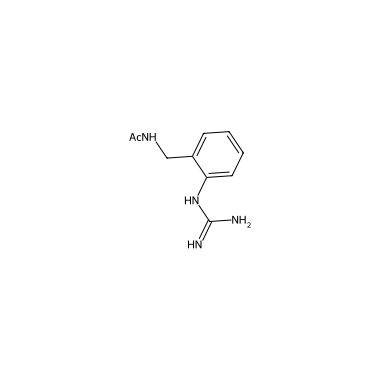 CC(=O)NCc1ccccc1NC(=N)N